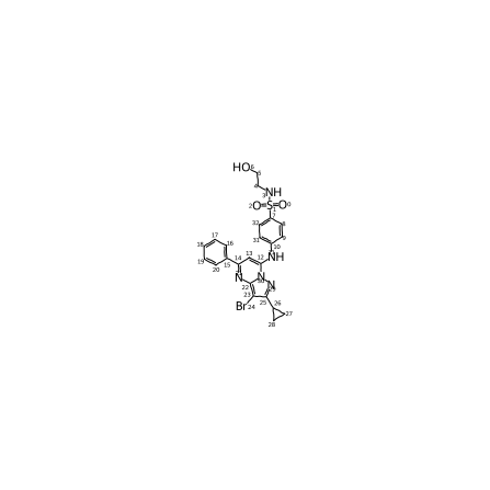 O=S(=O)(NCCO)c1ccc(Nc2cc(-c3ccccc3)nc3c(Br)c(C4CC4)nn23)cc1